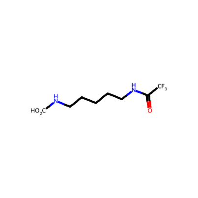 O=C(O)NCCCCCNC(=O)C(F)(F)F